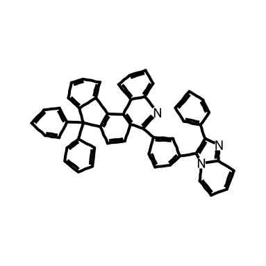 c1ccc(-c2nc3ccccn3c2-c2cccc(-c3nc4ccccc4c4c5c(ccc34)C(c3ccccc3)(c3ccccc3)c3ccccc3-5)c2)cc1